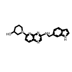 OC1CCCN(c2ccc3ncc(NCc4ccc5cc[nH]c5c4)nc3n2)C1